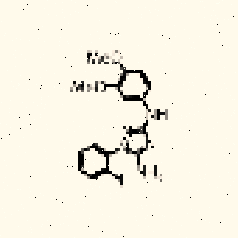 COc1ccc(Nc2nc(N)n(-c3ccccc3I)n2)cc1OC